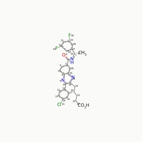 C[C@H](NC(=O)c1ccc2nc(-c3ccc(Cl)cc3)c(CCCCC(=O)O)nc2c1)c1cc(F)cc(F)c1